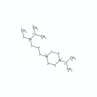 CCN(CCCN1CCN(C(C)C)CC1)C(C)C